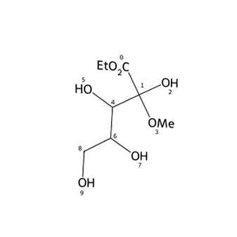 CCOC(=O)C(O)(OC)C(O)C(O)CO